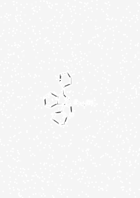 CCOC(=O)C1(c2ccccc2)N=C(c2ccccc2)c2ccccc21